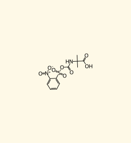 CC(C)(NC(=O)OS(=O)(=O)c1ccccc1[N+](=O)[O-])C(=O)O